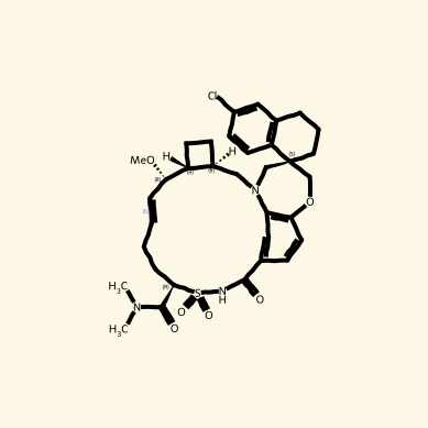 CO[C@H]1/C=C/CC[C@H](C(=O)N(C)C)S(=O)(=O)NC(=O)c2ccc3c(c2)N(C[C@@H]2CC[C@H]21)C[C@@]1(CCCc2cc(Cl)ccc21)CO3